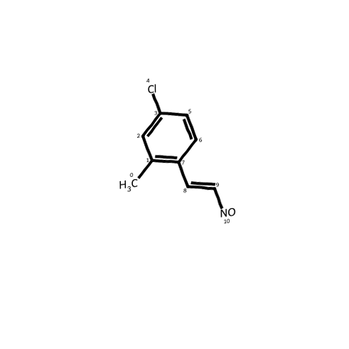 Cc1cc(Cl)ccc1/C=C/N=O